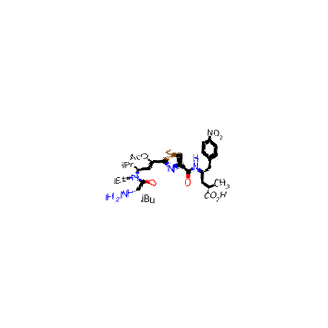 CC[C@H](C)[C@H](N)C(=O)N(CC)[C@H](C[C@@H](OC(C)=O)c1nc(C(=O)N[C@@H](Cc2ccc([N+](=O)[O-])cc2)C[C@H](C)C(=O)O)cs1)C(C)C